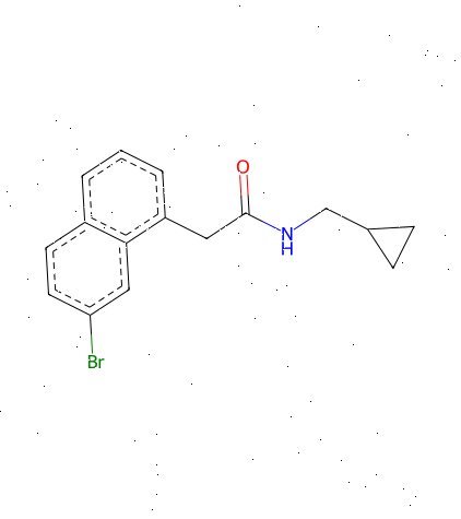 O=C(Cc1cccc2ccc(Br)cc12)NCC1CC1